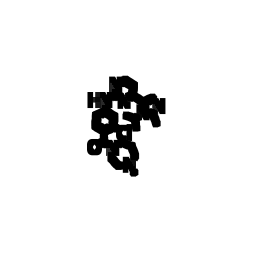 Cc1ncc(-c2ccnc(Nc3ccc(C(=O)N4CCCN(C)CC4)c(Cl)c3)n2)n1C(C)C